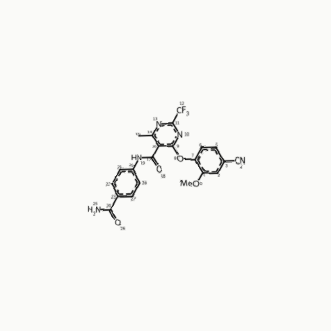 COc1cc(C#N)ccc1Oc1nc(C(F)(F)F)nc(C)c1C(=O)Nc1ccc(C(N)=O)cc1